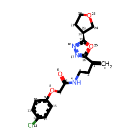 C=C(CCNC(=O)COc1ccc(Cl)cc1)c1nnc([C@H]2CCOC2)o1